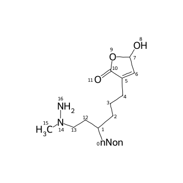 CCCCCCCCCC(CCCC1=CC(O)OC1=O)CCN(C)N